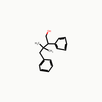 CC(C)(Cc1ccccc1)C(CO)c1ccccc1